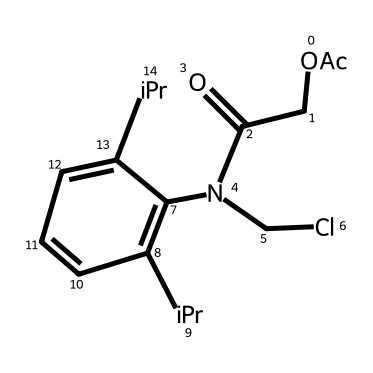 CC(=O)OCC(=O)N(CCl)c1c(C(C)C)cccc1C(C)C